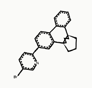 Brc1ccc(-c2ccc3c(c2)[C@]24CCC[C@]2(CCC4)c2ccccc2-3)nc1